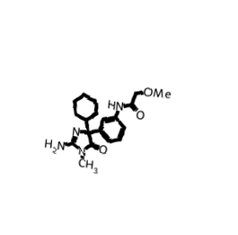 COCC(=O)Nc1cccc(C2(C3CCCCC3)N=C(N)N(C)C2=O)c1